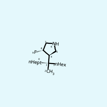 CCCCCCC[C@@](C)(CCCCCC)[C@@H]1CNC[C@H]1F